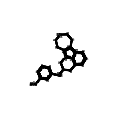 COc1cccc(NC2Cc3cccc4c5c(n(c34)C2)CCNCC5)c1